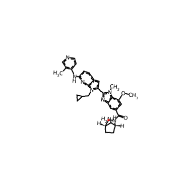 COc1cc(C(=O)N2C[C@H]3CC[C@@H]2[C@@H]3N)cc2nc(-c3cc4ccc(Nc5ccncc5C)nc4n3CC3CC3)n(C)c12